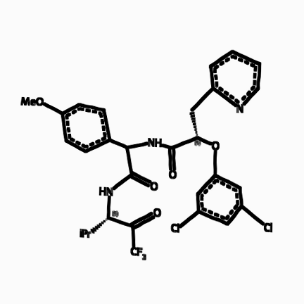 COc1ccc(C(NC(=O)[C@H](Cc2ccccn2)Oc2cc(Cl)cc(Cl)c2)C(=O)N[C@H](C(=O)C(F)(F)F)C(C)C)cc1